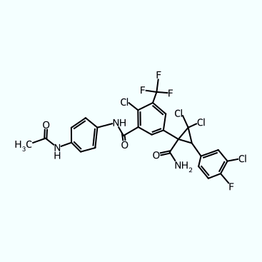 CC(=O)Nc1ccc(NC(=O)c2cc(C3(C(N)=O)C(c4ccc(F)c(Cl)c4)C3(Cl)Cl)cc(C(F)(F)F)c2Cl)cc1